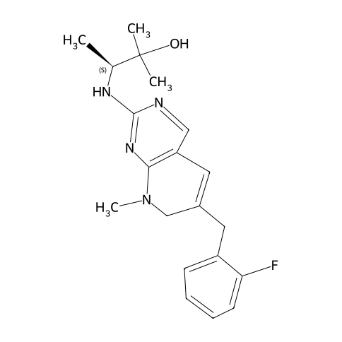 C[C@H](Nc1ncc2c(n1)N(C)CC(Cc1ccccc1F)=C2)C(C)(C)O